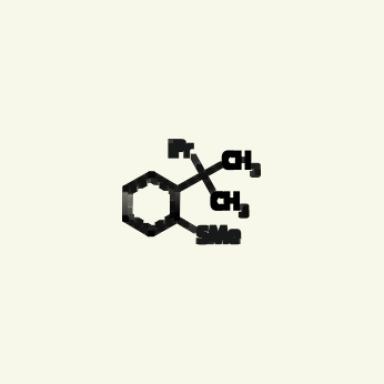 CSc1ccccc1C(C)(C)C(C)C